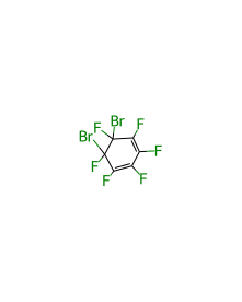 FC1=C(F)C(F)(Br)C(F)(Br)C(F)=C1F